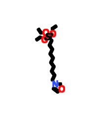 CCO[Si](CCCCCCCCCCN1C=COC1)(OCC)OCC